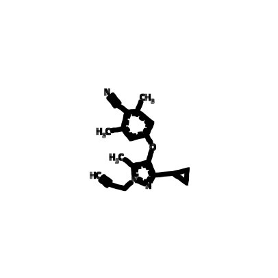 C#CCn1nc(C2CC2)c(Oc2cc(C)c(C#N)c(C)c2)c1C